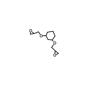 C1CC(OCC2CO2)CC(OCC2CO2)C1